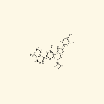 Cc1cc(-c2cn(CCN3CCC3)c([C@@H]3CCN(c4ncnc(N)c4OC(C)C)C[C@@H]3F)n2)ccc1F